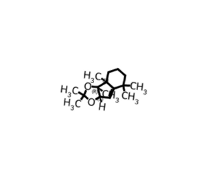 CC1(C)O[C@H]2C=C3C(C)(C)CCC[C@@]3(C)[C@@]2(C)O1